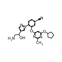 Cc1nc(Oc2cc(C#N)ccc2-n2cc(C(O)CN)cn2)cc(OC2CCCC2)n1